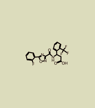 O=C(O)CC(NC(=O)c1noc(-c2ccccc2F)n1)c1ccccc1C(F)(F)F